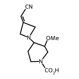 COC1CN(C(=O)O)CCC1N1CC(=CC#N)C1